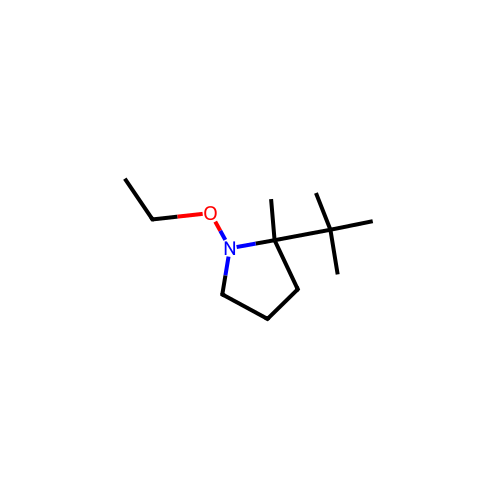 CCON1CCCC1(C)C(C)(C)C